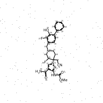 COC(=O)Nc1nn(C2(CC#N)CCN(Cc3ccc(-c4ccccc4)c(O)c3F)CC2F)cc1C(N)=O